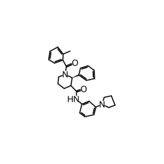 Cc1ccccc1C(=O)N1CCCC(C(=O)Nc2cccc(N3CCCC3)c2)[C@@H]1c1ccccc1